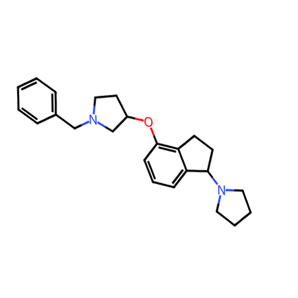 c1ccc(CN2CCC(Oc3cccc4c3CCC4N3CCCC3)C2)cc1